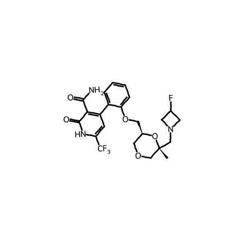 C[C@@]1(CN2CC(F)C2)COC[C@@H](COc2ccccc2-c2cc(C(F)(F)F)[nH]c(=O)c2C(N)=O)O1